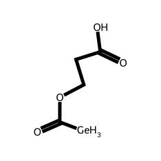 O=C(O)CCO[C](=O)[GeH3]